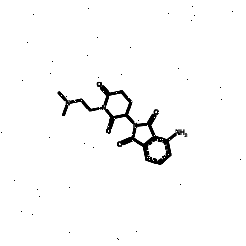 CN(C)CCN1C(=O)CCC(N2C(=O)c3cccc(N)c3C2=O)C1=O